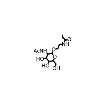 CC(=O)NC1C(OCCNC(=O)I)OC(CO)C(O)C1O